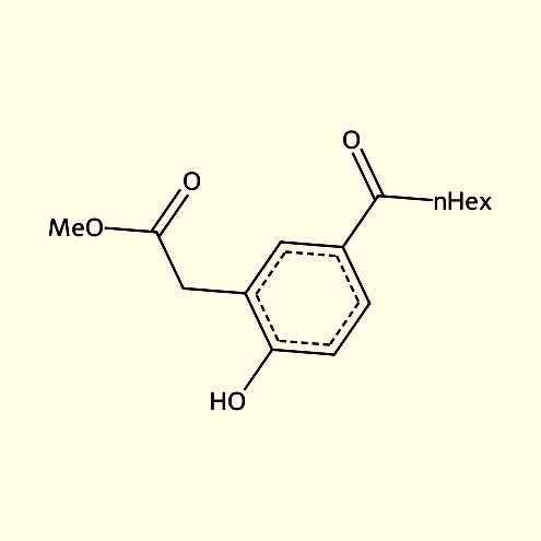 CCCCCCC(=O)c1ccc(O)c(CC(=O)OC)c1